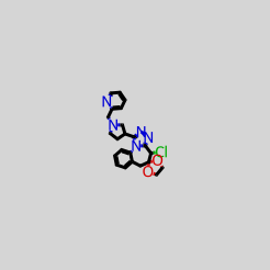 ClC1c2nnc(C3CCN(Cc4ccccn4)C3)n2-c2ccccc2CC12OCCO2